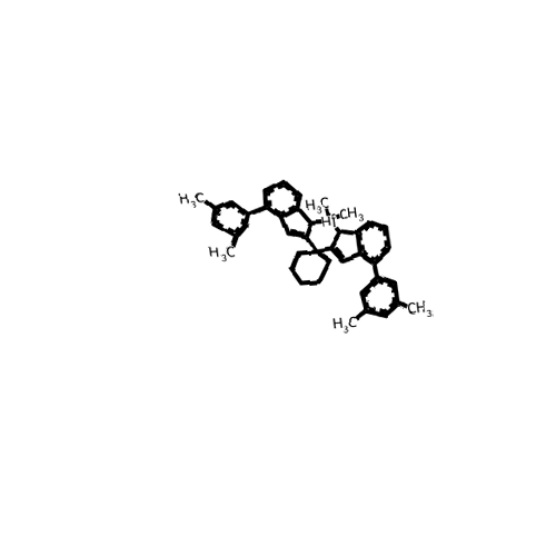 Cc1cc(C)cc(-c2cccc3c2C=C2[CH]3[Hf]([CH3])([CH3])[CH]3C(=Cc4c(-c5cc(C)cc(C)c5)cccc43)C23CCCCC3)c1